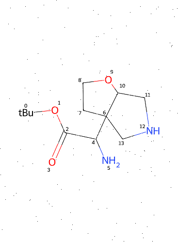 CC(C)(C)OC(=O)C(N)C12CCOC1CNC2